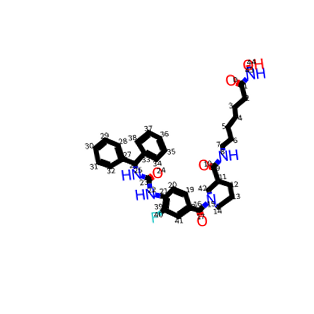 O=C(CCCCCCNC(=O)C1CCCN(C(=O)c2ccc(NC(=O)NC(c3ccccc3)c3ccccc3)c(F)c2)C1)NO